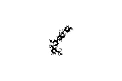 C=C[C@@H]1C[C@H](N2Cc3cnc(Nc4ccc(C)nc4)nc3C2)CCN1C(=O)c1ccnc(C(=O)OC)c1